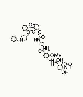 COc1c(CNC[C@H](O)c2ccc(O)c3[nH]c(=O)ccc23)ccc(C(=O)N[C@H]2C[C@H](NC(=O)COc3cccc(C(O)(C(=O)OCC4CCN(Cc5ccccc5)CC4)c4ccccc4)c3)C2)c1F